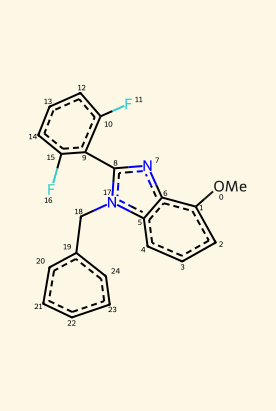 COc1cccc2c1nc(-c1c(F)cccc1F)n2Cc1ccccc1